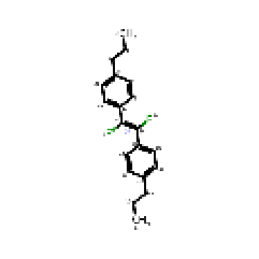 CCCc1ccc(/C(F)=C(\F)c2ccc(CCC)cc2)cc1